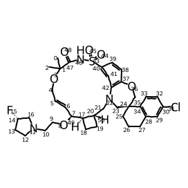 CC1(C)OC/C=C/[C@H](OCCN2CC[C@H](F)C2)[C@@H]2CC[C@H]2CN2C[C@@]3(CCCc4cc(Cl)ccc43)COc3ccc(cc32)S(=O)(=O)NC1=O